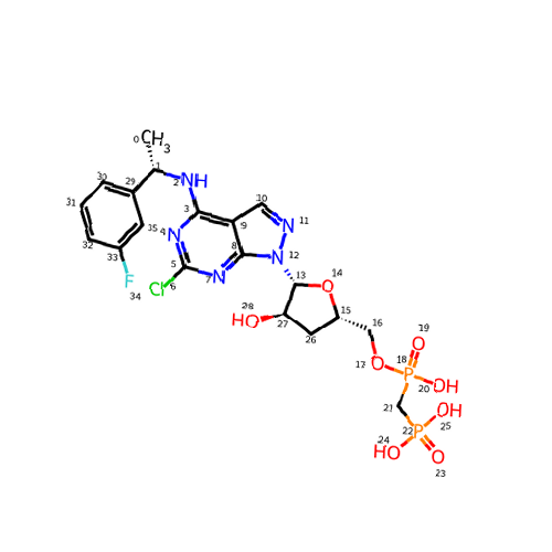 C[C@H](Nc1nc(Cl)nc2c1cnn2[C@@H]1O[C@H](COP(=O)(O)CP(=O)(O)O)C[C@H]1O)c1cccc(F)c1